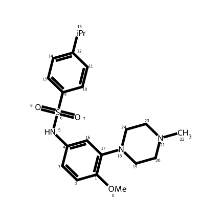 COc1ccc(NS(=O)(=O)c2ccc(C(C)C)cc2)cc1N1CCN(C)CC1